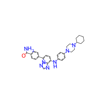 NC(=O)c1ccc(-c2ccc(Nc3ccc(N4CCN(C5CCCCC5)CC4)cc3)c3ncnn23)cc1